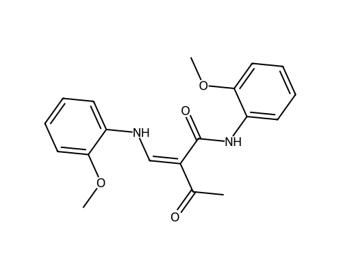 COc1ccccc1NC=C(C(C)=O)C(=O)Nc1ccccc1OC